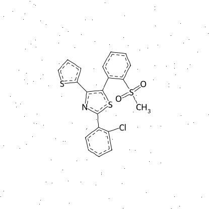 CS(=O)(=O)c1ccccc1-c1sc(-c2ccccc2Cl)nc1-c1cccs1